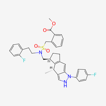 COC(=O)c1ccccc1CS(=O)(=O)N(CCc1ccccc1F)C[C@H]1CCC2=C1[C@@H](C)C1=CNN(c3ccc(F)cc3)C1=C2